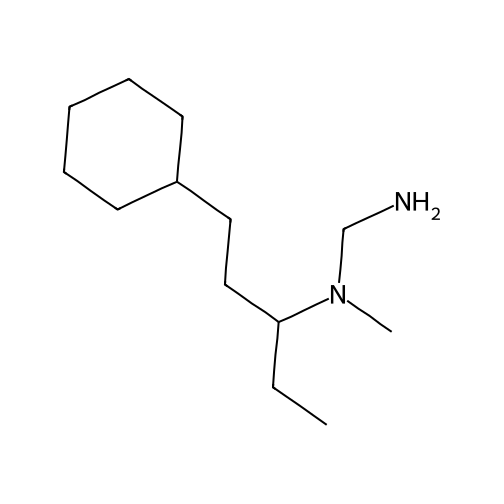 CCC(CCC1CCCCC1)N(C)CN